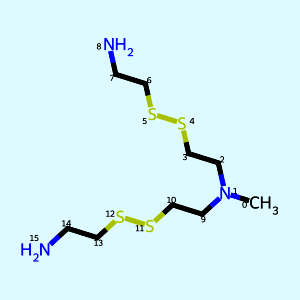 CN(CCSSCCN)CCSSCCN